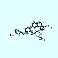 Cc1nc(N2C[C@@H](C)O[C@@H](C)C2)n2c1cnc1ccc(-c3ccc(OCCN(C)C)nc3)cc12